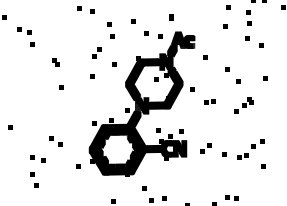 CC(=O)N1CCN(c2ccccc2C#N)CC1